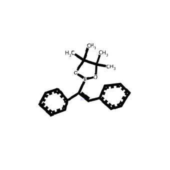 CC1(C)OB(/C(=C\c2ccccc2)c2ccccc2)OC1(C)C